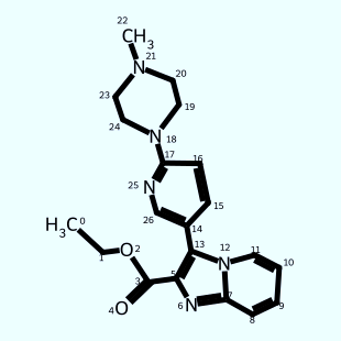 CCOC(=O)c1nc2ccccn2c1-c1ccc(N2CCN(C)CC2)nc1